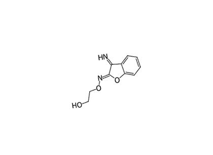 N=C1/C(=N/OCCO)Oc2ccccc21